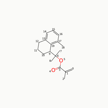 C=C(C)C(=O)OC(C)(C)C1CCCc2cccc(C)c21